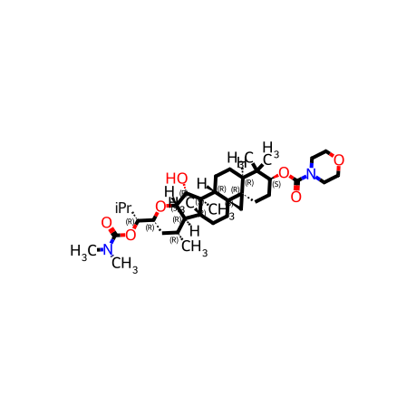 CC(C)[C@@H](OC(=O)N(C)C)[C@H]1C[C@@H](C)[C@H]2[C@H](O1)[C@H](O)[C@@]1(C)[C@@H]3CC[C@H]4C(C)(C)[C@@H](OC(=O)N5CCOCC5)CC[C@@]45C[C@@]35CC[C@]21C